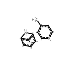 Cc1ccncc1.Clc1c2cccc1N2